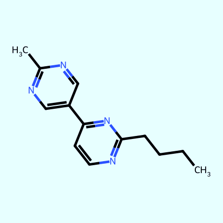 CCCCc1nccc(-c2cnc(C)nc2)n1